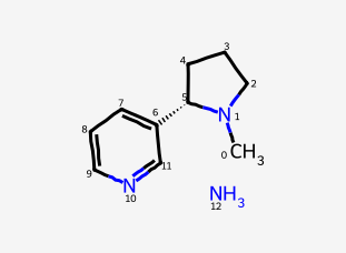 CN1CCC[C@H]1c1cccnc1.N